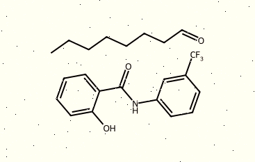 CCCCCCCC=O.O=C(Nc1cccc(C(F)(F)F)c1)c1ccccc1O